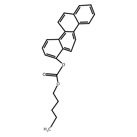 CCCCCOC(=O)Oc1cccc2c1ccc1c3ccccc3ccc21